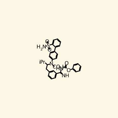 CC(C)C(Cc1cccc(C(=N)NC(=O)Oc2ccccc2)c1)N(C(=O)O)c1ccc(-c2ccccc2S(N)(=O)=O)cc1